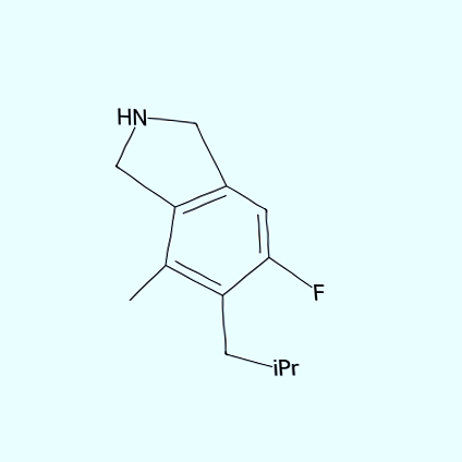 Cc1c(CC(C)C)c(F)cc2c1CNC2